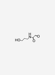 O=CC(=O)NCCCO